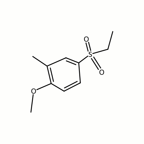 CCS(=O)(=O)c1ccc(OC)c(C)c1